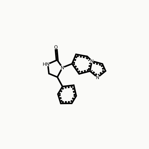 O=C1NCC(c2ccccc2)N1c1ccn2ccnc2c1